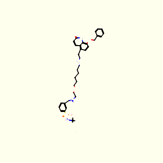 CN(CCOCCCCCCNC[C@H](O)c1ccc(OCc2ccccc2)c2[nH]c(=O)ccc12)Cc1cccc(S(=O)(=O)NC(C)(C)C)c1